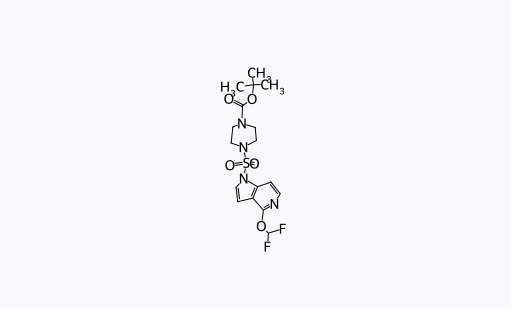 CC(C)(C)OC(=O)N1CCN(S(=O)(=O)n2ccc3c(OC(F)F)nccc32)CC1